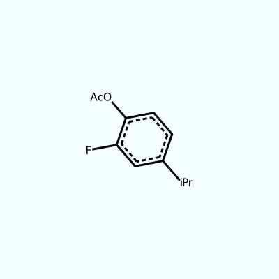 CC(=O)Oc1ccc(C(C)C)cc1F